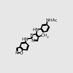 CC(=O)Nc1cccc(Nc2nc(Nc3ccc4oncc4c3)ncc2C)c1